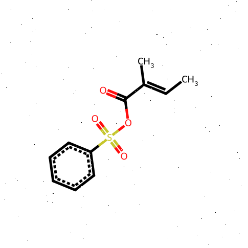 CC=C(C)C(=O)OS(=O)(=O)c1ccccc1